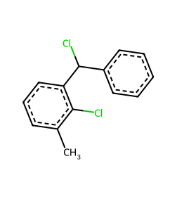 Cc1cccc(C(Cl)c2ccccc2)c1Cl